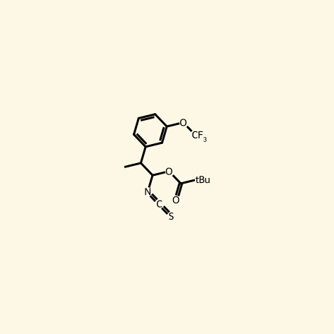 CC(c1cccc(OC(F)(F)F)c1)C(N=C=S)OC(=O)C(C)(C)C